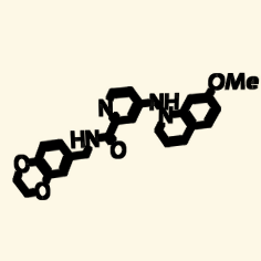 COc1ccc2c(c1)N(Nc1ccnc(C(=O)NCc3ccc4c(c3)OCCO4)c1)CC=C2